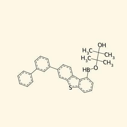 CC(C)(O)C(C)(C)OBc1cccc2sc3cc(-c4cccc(-c5ccccc5)c4)ccc3c12